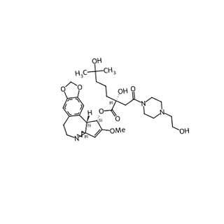 COC1=C[C@]23CCCN2CCc2cc4c(cc2[C@@H]3[C@@H]1OC(=O)[C@@](O)(CCCC(C)(C)O)CC(=O)N1CCN(CCO)CC1)OCO4